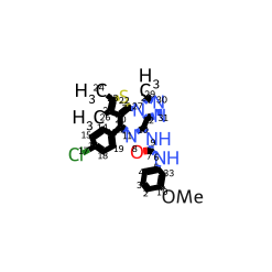 COc1cccc(NC(=O)NC2N=C(c3ccc(Cl)cc3)c3c(sc(C)c3C)-n3c(C)nnc32)c1